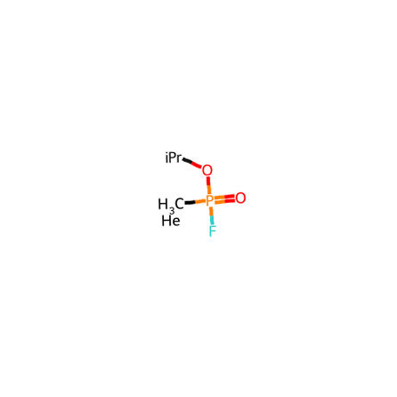 CC(C)OP(C)(=O)F.[He]